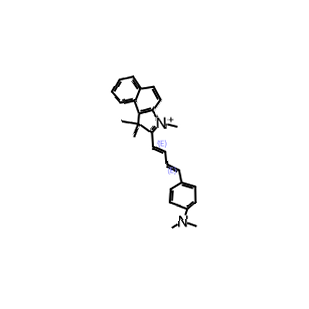 CN(C)c1ccc(/C=C/C=C/C2=[N+](C)c3ccc4ccccc4c3C2(C)C)cc1